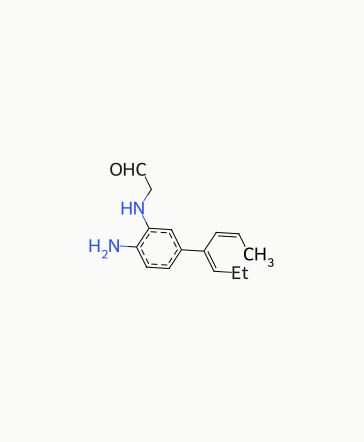 C/C=C\C(=C/CC)c1ccc(N)c(NCC=O)c1